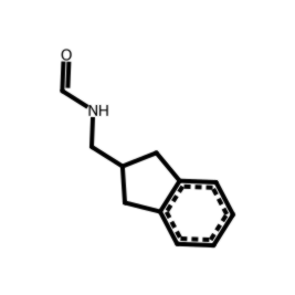 O=CNCC1Cc2ccccc2C1